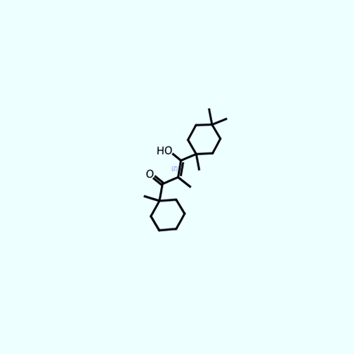 C/C(C(=O)C1(C)CCCCC1)=C(/O)C1(C)CCC(C)(C)CC1